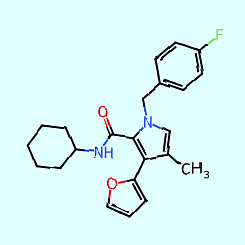 Cc1cn(Cc2ccc(F)cc2)c(C(=O)NC2CCCCC2)c1-c1ccco1